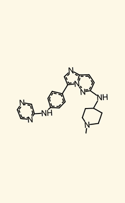 CN1CCC(Nc2ccc3ncc(-c4ccc(Nc5cnccn5)cc4)n3n2)CC1